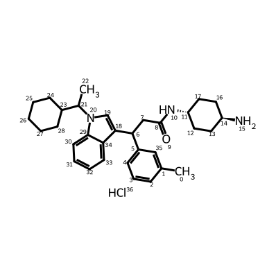 Cc1cccc(C(CC(=O)N[C@H]2CC[C@H](N)CC2)c2cn(C(C)C3CCCCC3)c3ccccc23)c1.Cl